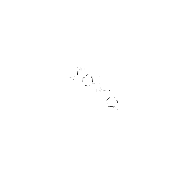 Cc1cc(C(=O)NC2CCc3cc(C(=N)NO)cnc32)ccn1